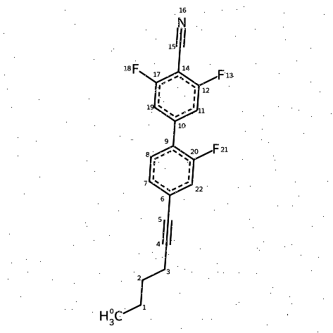 CCCCC#Cc1ccc(-c2cc(F)c(C#N)c(F)c2)c(F)c1